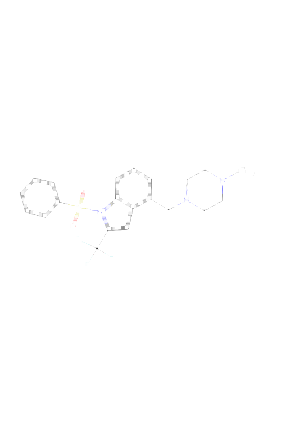 CN1CCN(Cc2cccc3c2cc(C(F)(F)F)n3S(=O)(=O)c2ccccc2)CC1